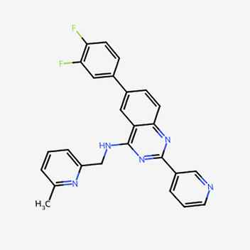 Cc1cccc(CNc2nc(-c3cccnc3)nc3ccc(-c4ccc(F)c(F)c4)cc23)n1